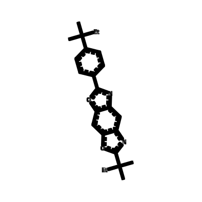 CCC(C)(C)c1ccc(-c2nc3cc4nc(C(C)(C)CC)oc4cc3o2)cc1